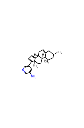 C[C@H]1CC[C@@]2(C)C(=CC[C@H]3C4=CC=C(c5cncc(N)c5)[C@@]4(C)CC[C@@H]32)C1